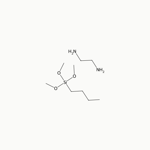 CCCC[Si](OC)(OC)OC.NCCN